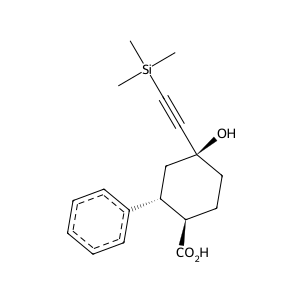 C[Si](C)(C)C#C[C@]1(O)CC[C@@H](C(=O)O)[C@H](c2ccccc2)C1